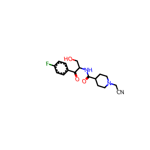 N#CCN1CCC(C(=O)NC(CO)C(=O)c2ccc(F)cc2)CC1